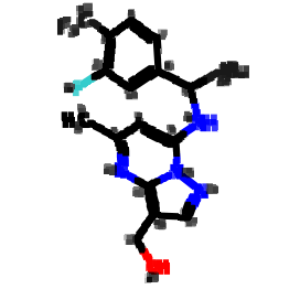 Cc1cc(NC(c2ccc(C(F)(F)F)c(F)c2)C(C)(C)C)n2ncc(CO)c2n1